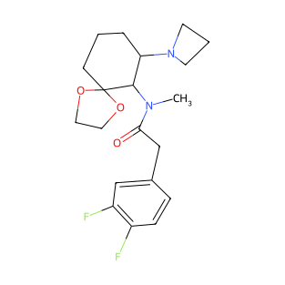 CN(C(=O)Cc1ccc(F)c(F)c1)C1C(N2CCC2)CCCC12OCCO2